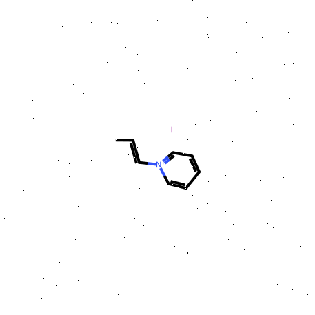 CC=C[n+]1ccccc1.[I-]